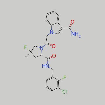 C[C@@]1(F)C[C@@H](C(=O)NCc2cccc(Cl)c2F)N(C(=O)Cn2cc(C(N)=O)c3ccccc32)C1